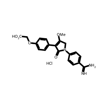 COC1=C(c2ccc(OCC(=O)O)cc2)C(=O)N(c2ccc(C(=N)N)cc2)C1.Cl